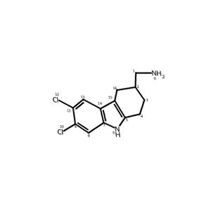 NCC1CCc2[nH]c3cc(Cl)c(Cl)cc3c2C1